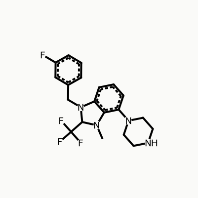 CN1c2c(N3CCNCC3)cccc2N(Cc2cccc(F)c2)C1C(F)(F)F